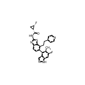 Cc1c(F)cc2[nH]ncc2c1-c1ccc2nc(NC(=O)[C@@H]3C[C@@H]3F)sc2c1CCc1ccncc1